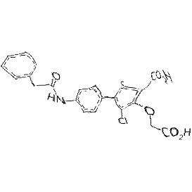 O=C(O)COc1c(C(=O)O)sc(-c2ccc(NC(=O)Cc3ccccc3)cc2)c1Cl